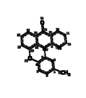 Cc1ccc2c(c1)-n1c3ncccc3c(=O)c3cccc(c31)O2